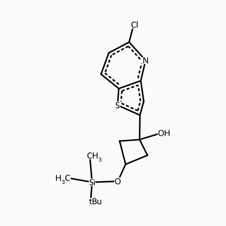 CC(C)(C)[Si](C)(C)OC1CC(O)(c2cc3nc(Cl)ccc3s2)C1